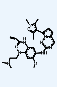 C=CC(=O)Nc1cc(Nc2ncc3ccc(-c4c(C)nn(C)c4C)n3n2)c(OC)cc1N(C)CCN(C)C